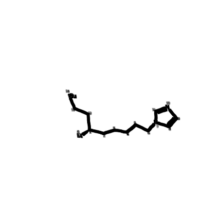 CC[C@H](CCCCCn1ccnc1)CCC(C)(C)C